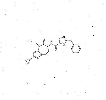 CN1C(=O)C(NC(=O)c2nnc(Cc3ccccc3)o2)CCn2nc(C3CC3)cc21